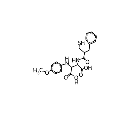 COc1ccc(NC(C(=O)O)[C@H](NC(=O)C(CS)Cc2ccccc2)C(=O)O)cc1